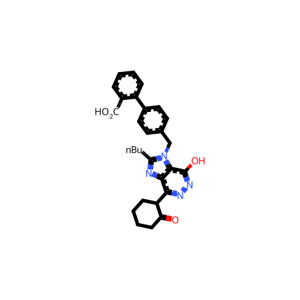 CCCCc1nc2c(C3CCCCC3=O)nnc(O)c2n1Cc1ccc(-c2ccccc2C(=O)O)cc1